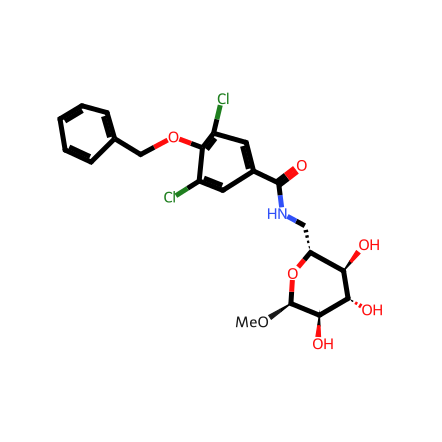 CO[C@H]1O[C@H](CNC(=O)c2cc(Cl)c(OCc3ccccc3)c(Cl)c2)[C@@H](O)[C@H](O)[C@H]1O